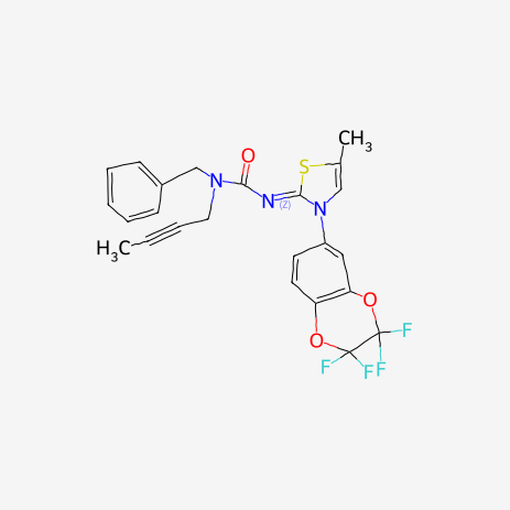 CC#CCN(Cc1ccccc1)C(=O)/N=c1\sc(C)cn1-c1ccc2c(c1)OC(F)(F)C(F)(F)O2